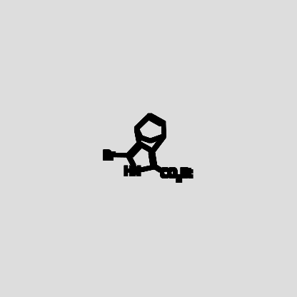 CCOC(=O)c1[nH]c(Br)c2c1C1C=CC2CC1